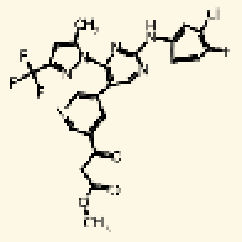 COC(=O)CC(=O)c1cncc(-c2cnc(Nc3ccc(F)c(Cl)c3)nc2-n2nc(C(F)(F)F)cc2C)c1